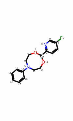 Fc1ccc(B2OCCN(c3ccccc3)CCO2)nc1